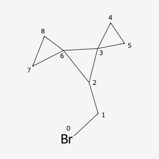 BrCC1C2(CC2)C12CC2